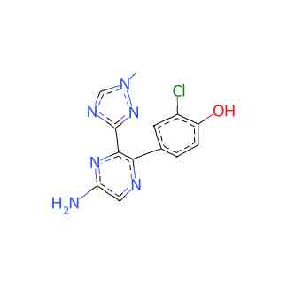 Cn1cnc(-c2nc(N)cnc2-c2ccc(O)c(Cl)c2)n1